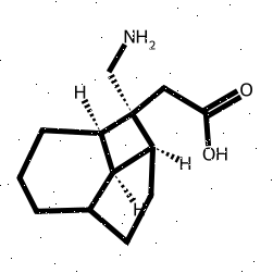 NC[C@@]1(CC(=O)O)[C@@H]2CCCC3CC[C@H]1[C@@H]32